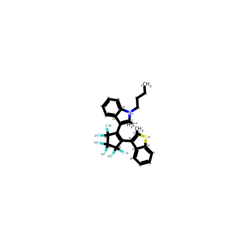 CCCCn1c(C)c(C2=C(c3c(C)sc4ccccc34)C(F)(F)C(F)(F)C2(F)F)c2ccccc21